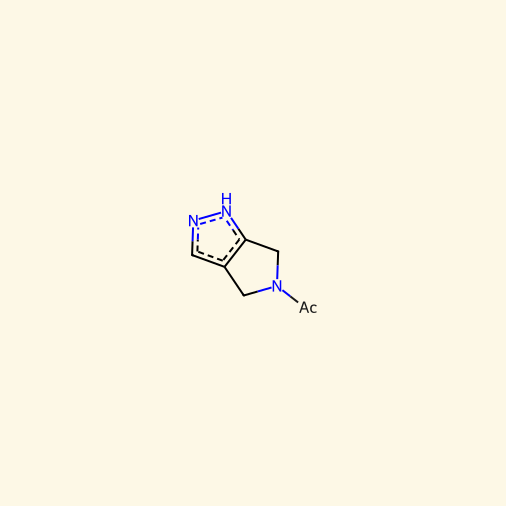 CC(=O)N1Cc2cn[nH]c2C1